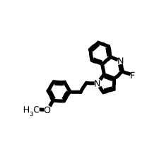 COc1cccc(CCn2ccc3c(F)nc4ccccc4c32)c1